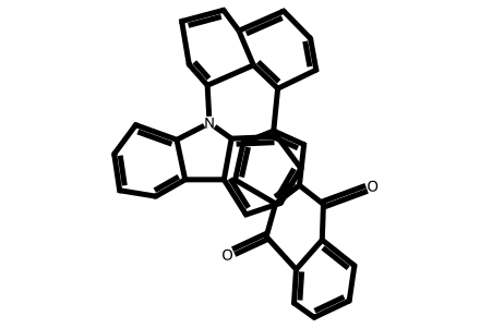 O=C1c2ccccc2C(=O)c2cc(-c3cccc4cccc(-n5c6ccccc6c6ccccc65)c34)ccc21